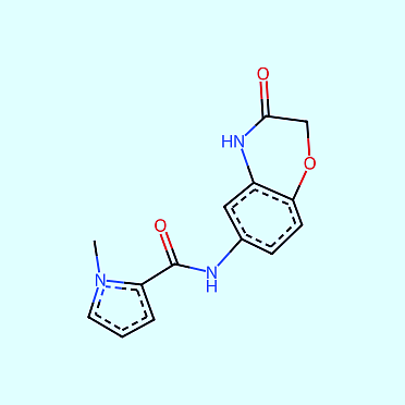 Cn1cccc1C(=O)Nc1ccc2c(c1)NC(=O)CO2